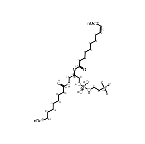 CCCCCCCC/C=C\CCCCCCCC(=O)O[C@H](COC(=O)CCCCCCCCCCCCCCCCC)COP(=O)([O-])OCC[N+](C)(C)C